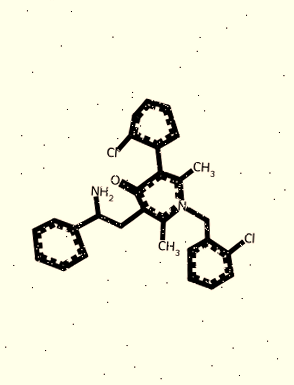 Cc1c(CC(N)c2ccccc2)c(=O)c(-c2ccccc2Cl)c(C)n1Cc1ccccc1Cl